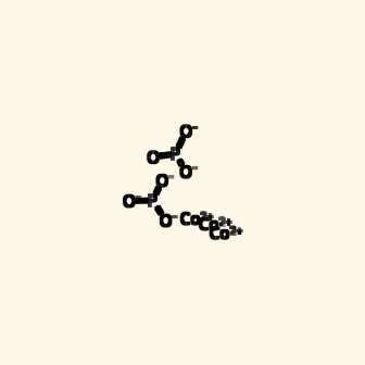 [Co+2].[Co+2].[Co+2].[O-]P([O-])[O-].[O-]P([O-])[O-]